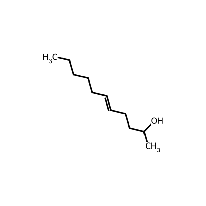 CCCCCC=CCCC(C)O